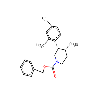 CCOC(=O)[C@@H]1CCN(C(=O)OCc2ccccc2)C[C@@H]1c1ccc(C(F)(F)F)cc1C(=O)O